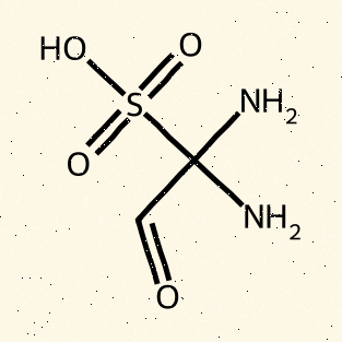 NC(N)(C=O)S(=O)(=O)O